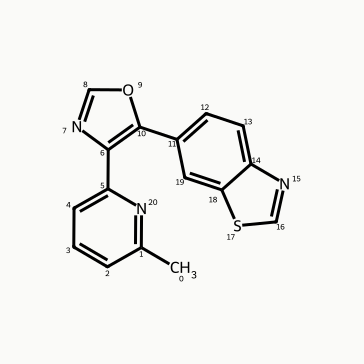 Cc1cccc(-c2ncoc2-c2ccc3ncsc3c2)n1